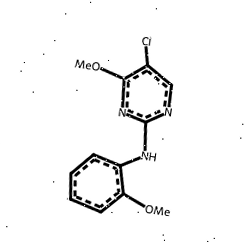 COc1c[c]ccc1Nc1ncc(Cl)c(OC)n1